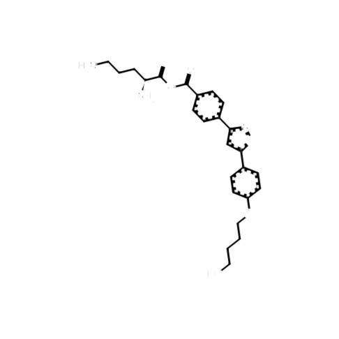 CCCCCOc1ccc(-c2cc(-c3ccc(C(=O)OC(=O)[C@@H](N)CCCN)cc3)no2)cc1